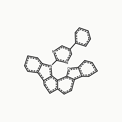 c1ccc(-c2cnc(-n3c4ccccc4c4ccc5ccc6c7ccccc7oc6c5c43)nc2)cc1